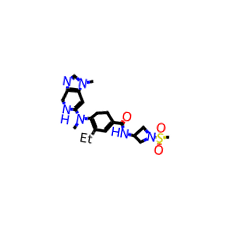 CCC1=C(N(C)C2=Cc3c(ncn3C)CN2)CCC(C(=O)NC2CN(S(C)(=O)=O)C2)=C1